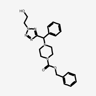 O=C(OCc1ccccc1)N1CCN(C(c2ccccc2)c2nnn(CCO)n2)CC1